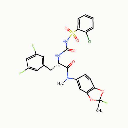 CN(C(=O)[C@H](Cc1cc(F)cc(F)c1)NC(=O)NS(=O)(=O)c1ccccc1Cl)c1ccc2c(c1)OC(C)(F)O2